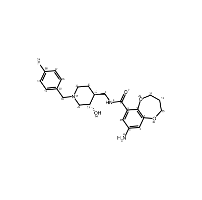 Nc1cc2c(c(C(=O)NC[C@@H]3CCN(Cc4ccc(F)cc4)C[C@H]3O)c1)OCCCO2